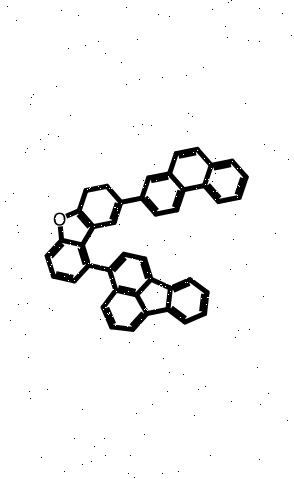 C1=C(c2ccc3c(ccc4ccccc43)c2)CCc2oc3cccc(-c4ccc5c6c(cccc46)-c4ccccc4-5)c3c21